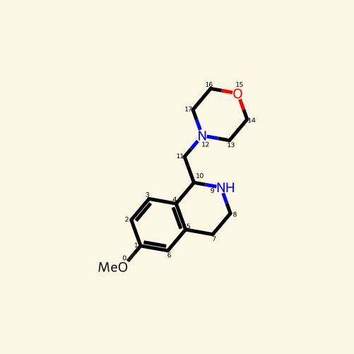 COc1ccc2c(c1)CCNC2CN1CCOCC1